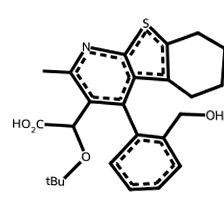 Cc1nc2sc3c(c2c(-c2ccccc2CO)c1C(OC(C)(C)C)C(=O)O)CCCC3